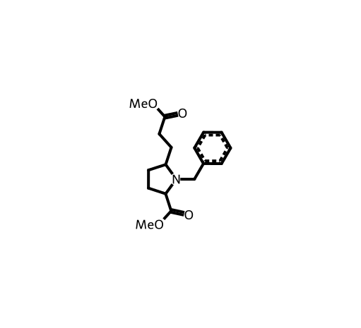 COC(=O)CCC1CCC(C(=O)OC)N1Cc1ccccc1